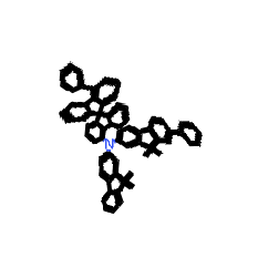 CC1(C)c2ccccc2-c2ccc(N(c3ccc4c(c3)C(C)(C)c3cc(-c5ccccc5)ccc3-4)c3cccc4c3-c3ccccc3C43c4ccccc4-c4c(-c5ccccc5)cccc43)cc21